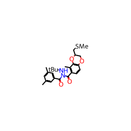 CSCC1COc2ccc(C(=O)N(NC(C)(C)C)C(=O)c3cc(C)cc(C)c3)c(C)c2O1